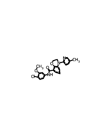 COc1cc(NC(=O)c2cccc3c2OCCN3c2ccc(C)cn2)ccc1Cl